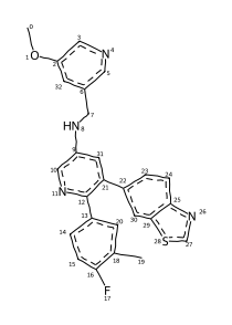 COc1cncc(CNc2cnc(-c3ccc(F)c(C)c3)c(-c3ccc4ncsc4c3)c2)c1